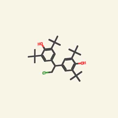 CC(C)(C)c1cc(C(CCl)c2cc(C(C)(C)C)c(O)c(C(C)(C)C)c2)cc(C(C)(C)C)c1O